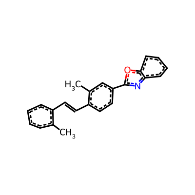 Cc1ccccc1C=Cc1ccc(-c2nc3ccccc3o2)cc1C